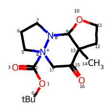 CC(C)(C)OC(=O)[N+]12CCCN1C1OCCC1(C)C(=O)C2